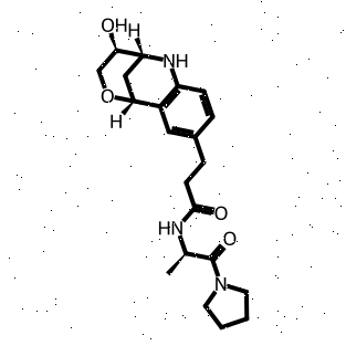 C[C@@H](NC(=O)CCc1ccc2c(c1)[C@H]1C[C@@H](N2)[C@H](O)CO1)C(=O)N1CCCC1